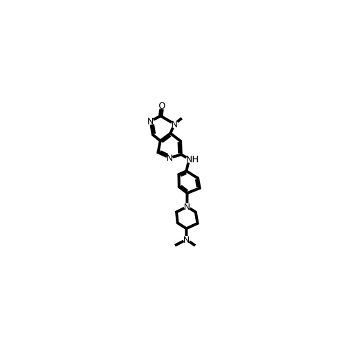 CN(C)C1CCN(c2ccc(Nc3cc4c(cn3)cnc(=O)n4C)cc2)CC1